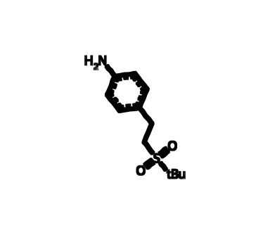 CC(C)(C)S(=O)(=O)CCc1ccc(N)cc1